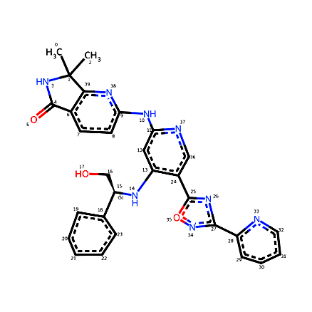 CC1(C)NC(=O)c2ccc(Nc3cc(N[C@H](CO)c4ccccc4)c(-c4nc(-c5ccccn5)no4)cn3)nc21